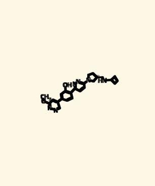 COc1cc(-c2ccc(-c3ccc(N4CC[C@@H](CNC5CCC5)C4)nn3)c(O)c2)cnn1